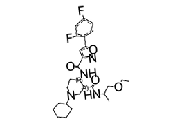 CCOCC(C)NC(=O)[C@@H]1CN(C2CCCCC2)CC[C@H]1NC(=O)c1cc(-c2ccc(F)cc2F)on1